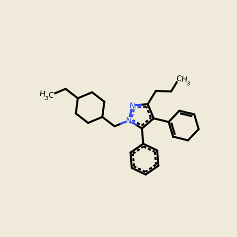 CCCc1nn(CC2CCC(CC)CC2)c(-c2ccccc2)c1C1=CCCC=C1